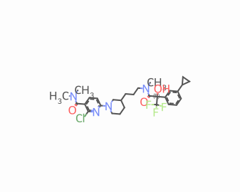 CN(C)C(=O)c1ccc(N2CCCC(CCCN(C)C(=O)[C@](O)(c3cccc(C4CC4)c3)C(F)(F)F)C2)nc1Cl